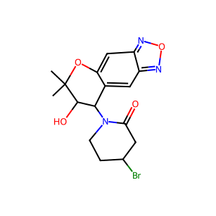 CC1(C)Oc2cc3nonc3cc2C(N2CCC(Br)CC2=O)C1O